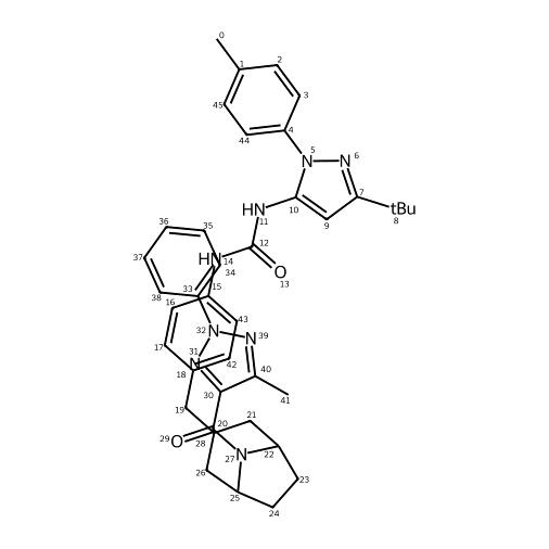 Cc1ccc(-n2nc(C(C)(C)C)cc2NC(=O)Nc2ccc(CC3CC4CCC(C3)N4C(=O)c3nn(-c4ccccc4)nc3C)cc2)cc1